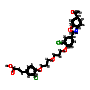 COC(=O)CCc1ccc(OCCCOCCCOc2ccc(-c3nc4ccc(C(C)=O)cc4o3)cc2Cl)c(Cl)c1